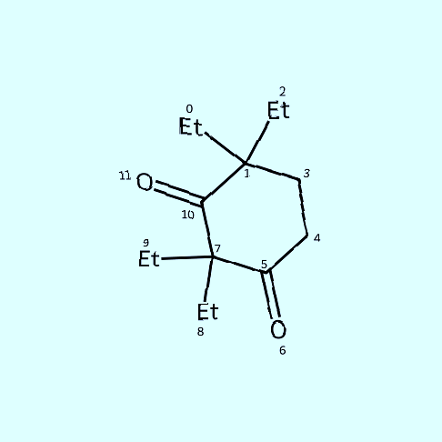 CCC1(CC)CCC(=O)C(CC)(CC)C1=O